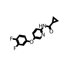 O=C(Nc1ccc(Oc2ccc(F)c(F)c2)cn1)C1CC1